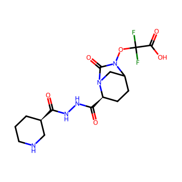 O=C(NNC(=O)[C@@H]1CCC2CN1C(=O)N2OC(F)(F)C(=O)O)[C@@H]1CCCNC1